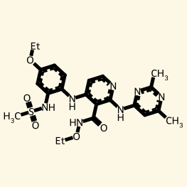 CCONC(=O)c1c(Nc2ccc(OCC)cc2NS(C)(=O)=O)ccnc1Nc1cc(C)nc(C)n1